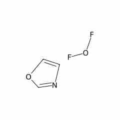 FOF.c1cocn1